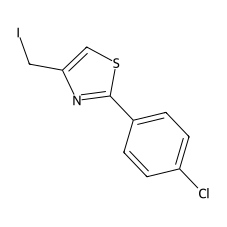 Clc1ccc(-c2nc(CI)cs2)cc1